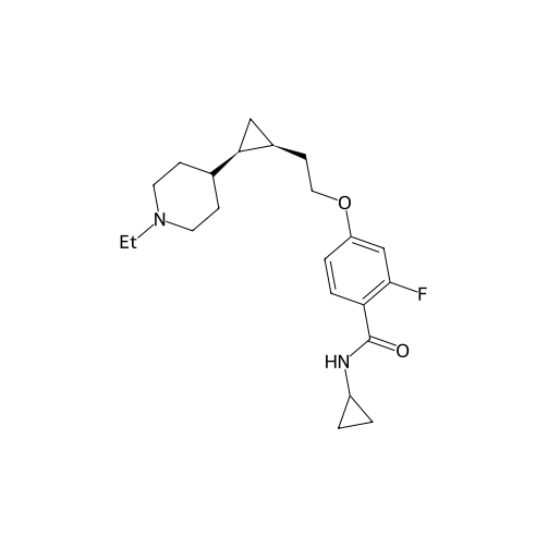 CCN1CCC([C@H]2C[C@H]2CCOc2ccc(C(=O)NC3CC3)c(F)c2)CC1